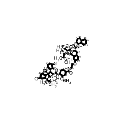 CN[C@@H](C)C(=O)N[C@H](C(=O)N1Cc2cc(OCCNC(=O)c3ccc(NC(=O)[C@@H]4N[C@@H](CC(C)(C)C)[C@](C#N)(c5ccc(Cl)cc5F)[C@H]4c4cccc(Cl)c4F)c(OC)c3)ccc2C[C@H]1C(=O)N[C@@H]1CCCc2ccccc21)C(C)(C)C